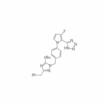 CCCCc1nc(CC(C)C)nn1Cc1ccc(-n2ccc(F)c2-c2nnn[nH]2)cc1